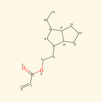 C=CC(=O)OCCC1CC(CC)C2CCCC12